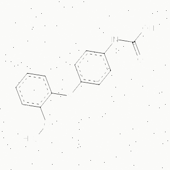 COc1ccccc1Sc1ccc(NC(=O)O)cc1